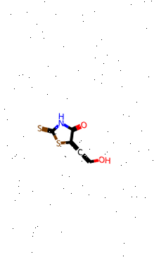 O=C1NC(=S)SC1=C=CO